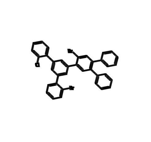 Clc1ccccc1-c1cc(-c2ccccc2Br)cc(-c2cc(-c3ccccc3)c(-c3ccccc3)cc2Br)c1